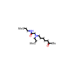 CSCCNC(=O)CN(CCCCCC(=O)C(C)(C)C)CCSC